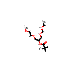 CCC(C)(C)C(=O)OC(COCCOC(C)(C)C)COCOCC(C)(C)C